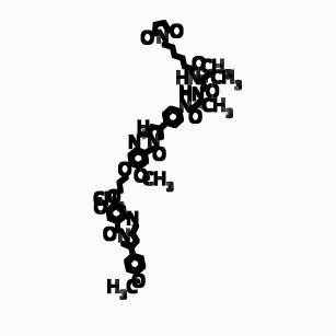 COc1ccc(C2=CN3C(=O)c4cc(OC)c(OCCCOc5cc6c(cc5OC)C(=O)N5C=C(c7ccc(NC(=O)[C@H](C)NC(=O)[C@@H](NC(=O)CCCCCN8C(=O)CCC8=O)C(C)C)cc7)C[C@H]5C=N6)cc4N=CC3C2)cc1